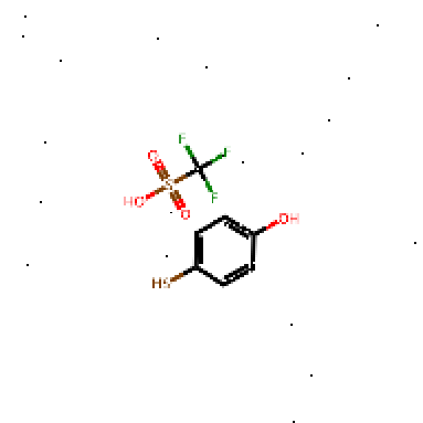 O=S(=O)(O)C(F)(F)F.Oc1ccc(S)cc1